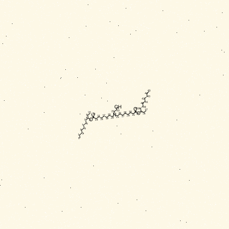 CCCCCCCCC(CC)OC(=O)CCCCCCCN(CCO)CCCCCCCC(=O)OC(CC)CCCCCCCC